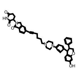 O=C1CCC(N2Cc3cc(C#CCCCCN4CCN(c5ccc(C6c7ccc(O)cc7OCC6c6ccccc6)cc5)CC4)ccc3C2=O)C(=O)N1